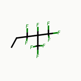 CCC(F)(F)C(F)(C(F)(F)F)C(F)(F)F